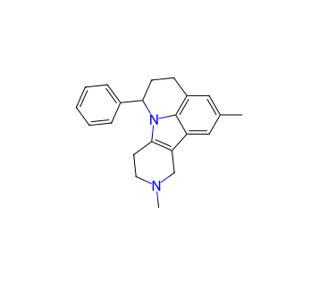 Cc1cc2c3c(c1)c1c(n3C(c3ccccc3)CC2)CCN(C)C1